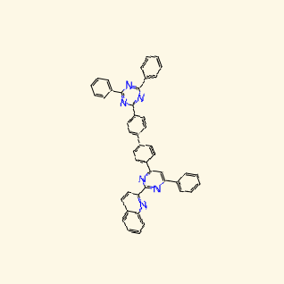 c1ccc(-c2cc(-c3ccc(-c4ccc(-c5nc(-c6ccccc6)nc(-c6ccccc6)n5)cc4)cc3)nc(-c3ccc4ccccc4n3)n2)cc1